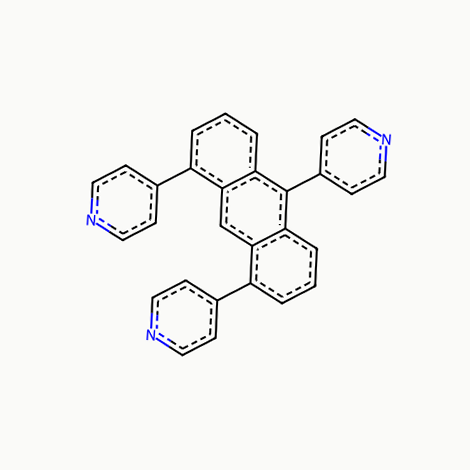 c1cc(-c2ccncc2)c2cc3c(-c4ccncc4)cccc3c(-c3ccncc3)c2c1